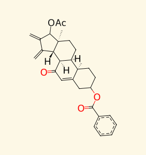 C=C1C(=C)[C@H]2[C@@H]3C(=O)C=C4CC(OC(=O)c5ccccc5)CC[C@]4(C)[C@@H]3CC[C@]2(C)C1OC(C)=O